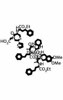 CCOC(=O)[C@H](CCc1ccccc1)N[C@@H](C)C(=O)N1Cc2cc(OC)c(OC)cc2C[C@H]1C(=O)O.CCOC(=O)[C@H](CCc1ccccc1)N[C@@H](C)C(=O)N1[C@H](C(=O)O)C[C@H]2CCCC[C@@H]21.CCOC(=O)[C@H](CCc1ccccc1)N[C@H]1CS[C@H](c2cccs2)CN(CC(=O)O)C1=O